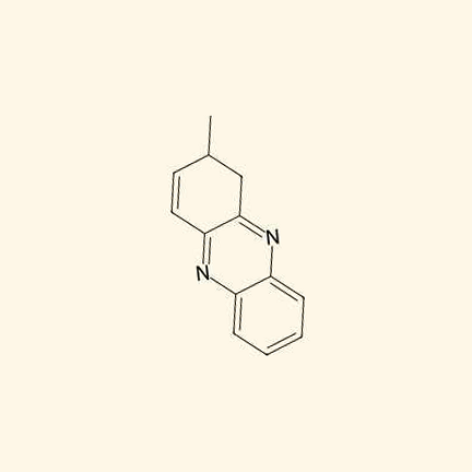 CC1C=Cc2nc3ccccc3nc2C1